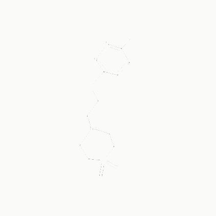 O=S1(=O)CCN(CCOc2ccc(Cl)nn2)CC1